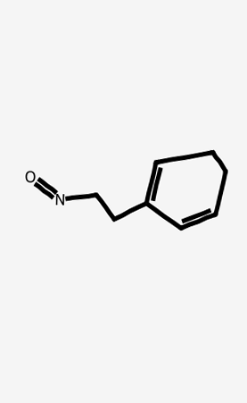 O=NCCC1=CCCC=C1